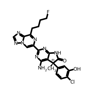 C[C@]1(c2ccc(Cl)c(O)c2)C(=O)Nc2nc(-c3cn4ncnc4c(CCCCF)n3)nc(N)c21